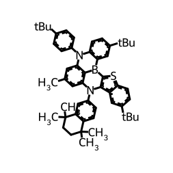 Cc1cc2c3c(c1)N(c1ccc4c(c1)C(C)(C)CCC4(C)C)c1c(sc4ccc(C(C)(C)C)cc14)B3c1cc(C(C)(C)C)ccc1N2c1ccc(C(C)(C)C)cc1